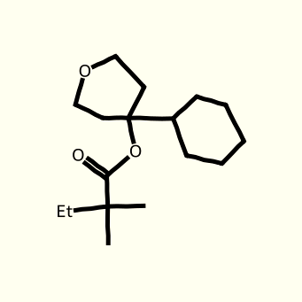 CCC(C)(C)C(=O)OC1(C2CCCCC2)CCOCC1